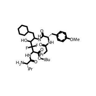 COc1ccc(C[C@H](NC(=O)CC(C)C)C(=O)NC(CC2CCCCC2)C(O)C(F)(F)C(NC(=O)[C@@H](N)C(C)C)C(=O)OC(C)(C)C)cc1